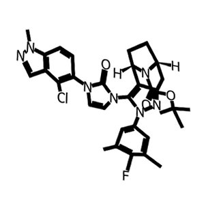 Cc1cc(-n2nc3c(c2-n2ccn(-c4ccc5c(cnn5C)c4Cl)c2=O)[C@@H]2CC[C@H](C3)N2C(=O)OC(C)(C)C)cc(C)c1F